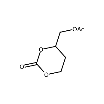 CC(=O)OCC1CCOC(=O)O1